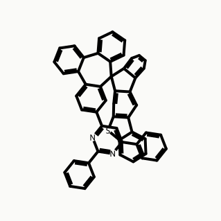 c1ccc(-c2cc(-c3ccc4c(c3)C3(c5ccccc5-c5ccccc5-4)c4ccccc4-c4cc5c(cc43)sc3ccccc35)nc(-c3ccccc3)n2)cc1